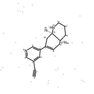 C#Cc1cncc(C2=CC[C@@H]3CCCN[C@@H]3C2)c1